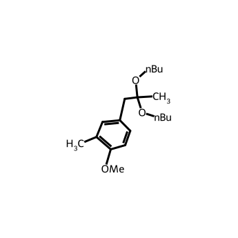 CCCCOC(C)(Cc1ccc(OC)c(C)c1)OCCCC